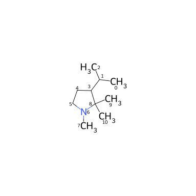 CC(C)C1CCN(C)C1(C)C